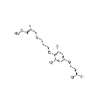 CC(COCCCOc1c(Cl)cc(OCC=C(Cl)Cl)cc1Cl)=NOC(C)(C)C